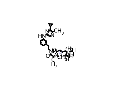 [2H]C([2H])([2H])N(C/C=C/C(=O)N(C)[C@@H](C)C(=O)NCCc1cccc(Nc2cnc(C)c(C3CC3)n2)c1)C([2H])([2H])[2H]